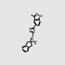 CNC1(CNc2nnc(-c3ccc4[nH]nc(C)c4c3)s2)Cc2ccccc2C1